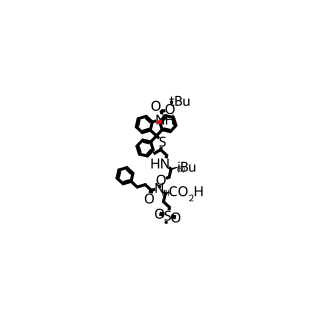 CC[C@H](C)C(CON(C(=O)CCc1ccccc1)[C@H](CCS(C)(=O)=O)C(=O)O)NCC(C)SC(c1ccccc1)(c1ccccc1)c1ccccc1NC(=O)OC(C)(C)C